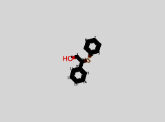 OCC(Sc1ccccc1)c1ccccc1